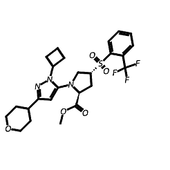 COC(=O)[C@@H]1C[C@@H](S(=O)(=O)c2ccccc2C(F)(F)F)CN1c1cc(C2CCOCC2)nn1C1CCC1